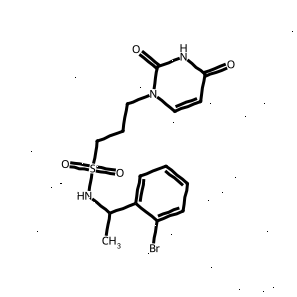 CC(NS(=O)(=O)CCCn1ccc(=O)[nH]c1=O)c1ccccc1Br